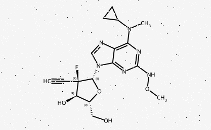 C#C[C@@]1(F)[C@H](O)[C@@H](CO)O[C@H]1n1cnc2c(N(C)C3CC3)nc(NOC)nc21